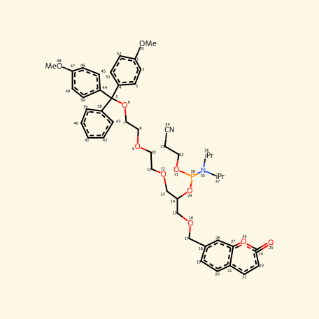 COc1ccc(C(OCCOCCOCC(COCc2ccc3ccc(=O)oc3c2)OP(OCCC#N)N(C(C)C)C(C)C)(c2ccccc2)c2ccc(OC)cc2)cc1